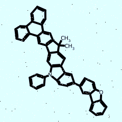 CC1(C)c2cc3c4ccccc4c4ccccc4c3cc2-c2cc3c(cc21)c1cc(-c2ccc4oc5ccccc5c4c2)ccc1n3-c1ccccc1